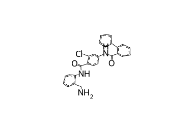 NCc1ccccc1NC(=O)c1ccc(NC(=O)c2ccccc2-c2ccccc2)cc1Cl